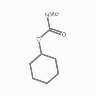 C[N]C(=O)OC1CCCCC1